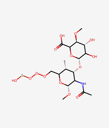 CO[C@@H]1OC(COOOSO)[C@H](C)[C@H](O[C@@H]2OC(C(=O)O)[C@@H](OC)[C@H](O)C2O)C1NC(C)=O